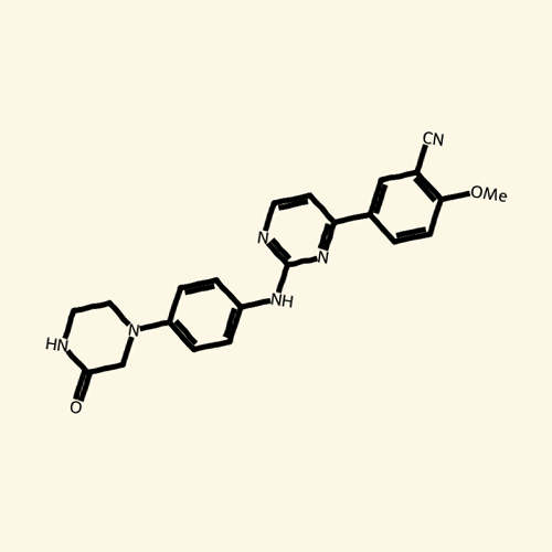 COc1ccc(-c2ccnc(Nc3ccc(N4CCNC(=O)C4)cc3)n2)cc1C#N